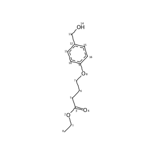 CCOC(=O)CCCOc1ccc(CO)cc1